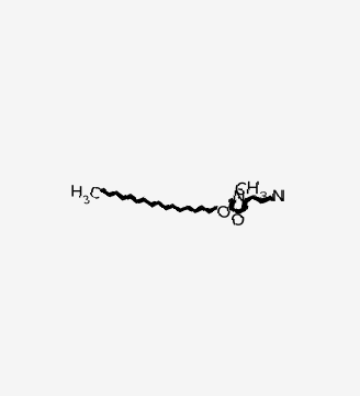 CCCCCCCCCCCCCCCCCCOc1cn(C)c(CCC#N)cc1=O